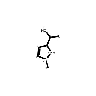 CC(O)C1C=CN(C)N1